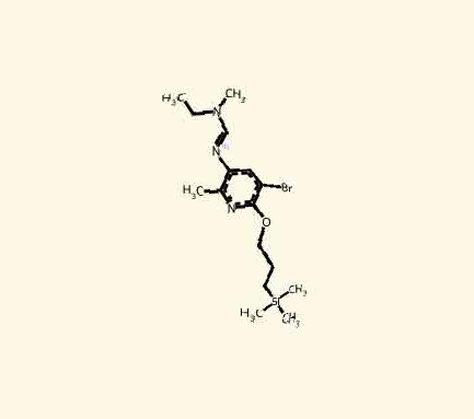 CCN(C)/C=N/c1cc(Br)c(OCCC[Si](C)(C)C)nc1C